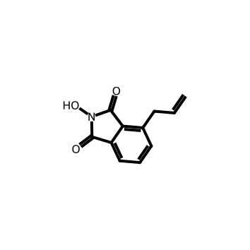 C=CCc1cccc2c1C(=O)N(O)C2=O